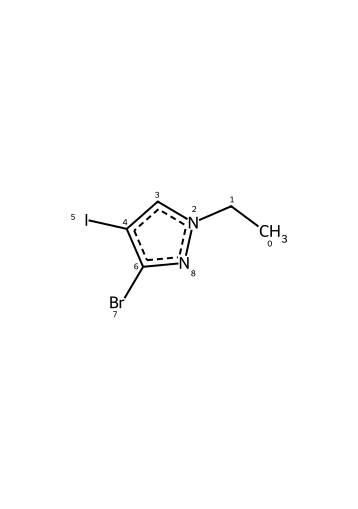 CCn1cc(I)c(Br)n1